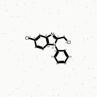 ClCc1nc2cc(Cl)ccc2n1-c1cc[c]cc1